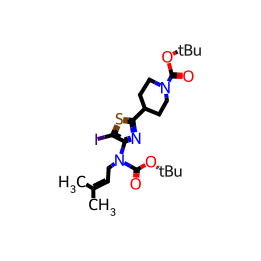 CC(C)=CCN(C(=O)OC(C)(C)C)c1nc(C2CCN(C(=O)OC(C)(C)C)CC2)sc1I